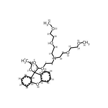 CCOC1(C(O)OCCN(CCOCCOC)CCOCCOC)c2ccccc2Oc2ccccc21